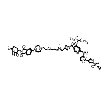 CC(C)n1nc(N2CC(CNCCCOCCN3CCN(c4ccc5c(c4)C(=O)N(C4CCC(=O)NC4=O)C5=O)CC3)C2)c2cnc(Nc3ccnc(-c4cnn(S(=O)(=O)C5CC5)c4)n3)cc21